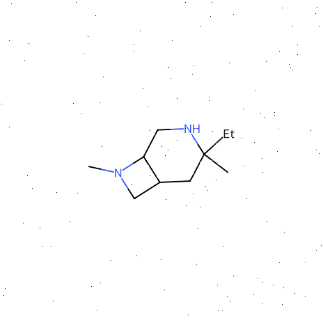 CCC1(C)CC2CN(C)C2CN1